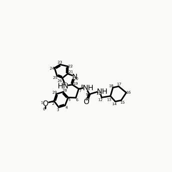 COc1ccc(CC(NC(=O)NCC2CCCCC2)c2nc3ccccc3[nH]2)cc1